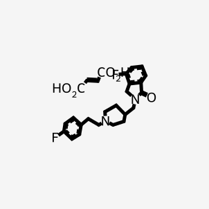 O=C(O)C=CC(=O)O.O=C1c2cccc(F)c2CN1CC1CCN(CCc2ccc(F)cc2)CC1